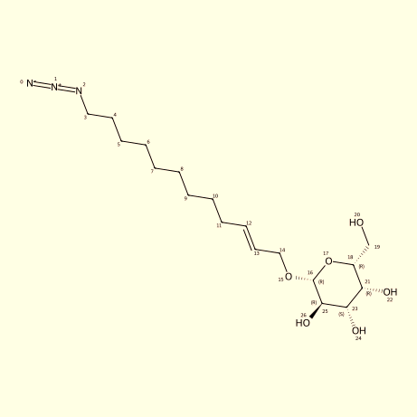 [N-]=[N+]=NCCCCCCCCCC=CCO[C@@H]1O[C@H](CO)[C@H](O)[C@H](O)[C@H]1O